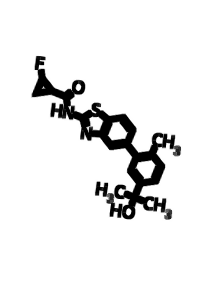 Cc1ccc(C(C)(C)O)cc1-c1ccc2sc(NC(=O)C3CC3F)nc2c1